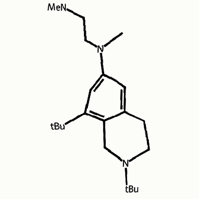 CNCCN(C)c1cc2c(c(C(C)(C)C)c1)CN(C(C)(C)C)CC2